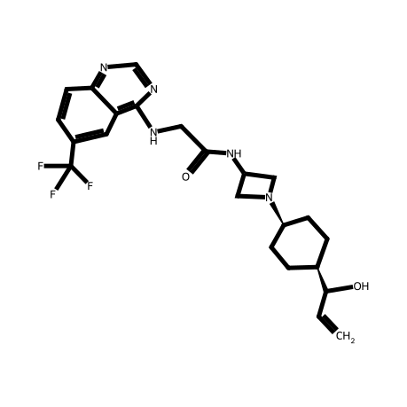 C=CC(O)[C@H]1CC[C@@H](N2CC(NC(=O)CNc3ncnc4ccc(C(F)(F)F)cc34)C2)CC1